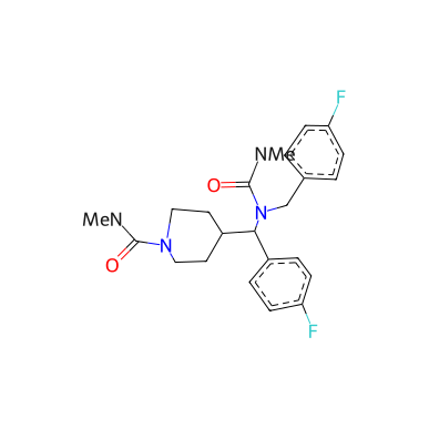 CNC(=O)N1CCC(C(c2ccc(F)cc2)N(Cc2ccc(F)cc2)C(=O)NC)CC1